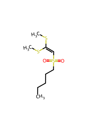 CCCCCS(=O)(=O)C=C(SC)SC